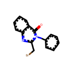 O=c1c2ccccc2nc(CBr)n1-c1ccccc1